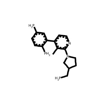 Cc1c(-c2cc(P)ccc2P)ccnc1N1CCC(CP)C1